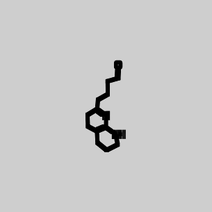 O=CCCCC1=NC2=C(CCCN2)CC1